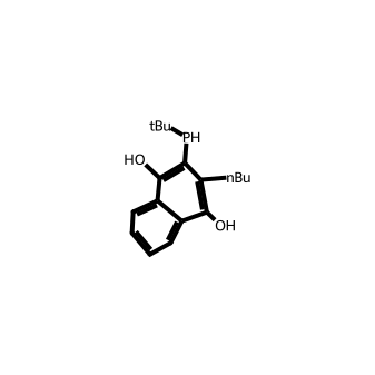 CCCCc1c(PC(C)(C)C)c(O)c2ccccc2c1O